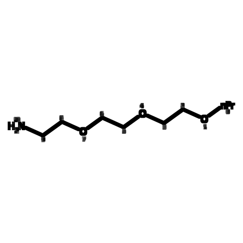 CCCOCCOCCOCCN